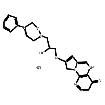 Cl.O=C1CC=NC2=C1NC=C1C=C(OCC(O)CN3CCN(c4ccccc4)CC3)CN12